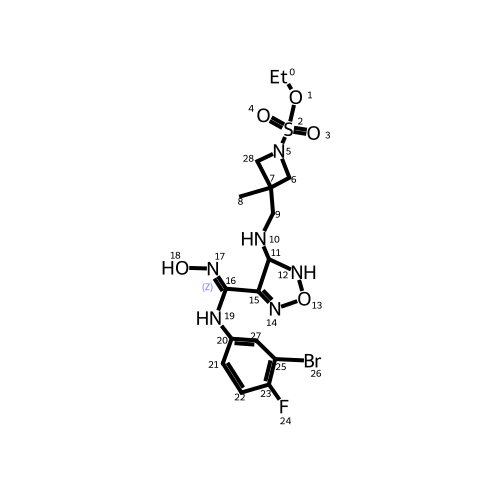 CCOS(=O)(=O)N1CC(C)(CNC2NON=C2/C(=N/O)Nc2ccc(F)c(Br)c2)C1